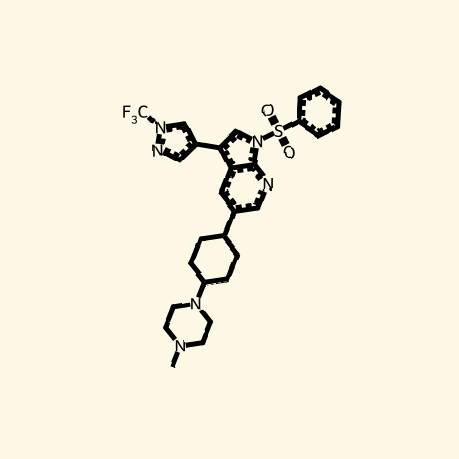 CN1CCN(C2CCC(c3cnc4c(c3)c(-c3cnn(C(F)(F)F)c3)cn4S(=O)(=O)c3ccccc3)CC2)CC1